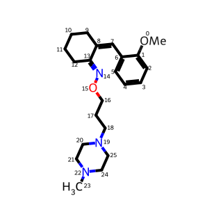 COc1ccccc1C=C1CCCCC1=NOCCCN1CCN(C)CC1